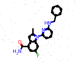 Cc1cc2c(C(N)=O)cc(F)cc2n1-c1cccc(NCc2ccccc2)n1